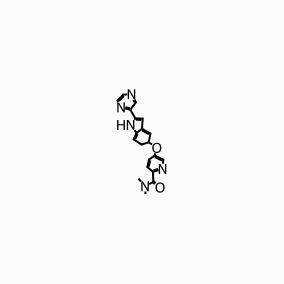 CN(C)C(=O)c1ccc(OC2C=c3cc(-c4cnccn4)[nH]c3=CC2)cn1